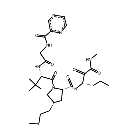 CCCC[C@H]1C[C@@H](C(=O)N[C@@H](CCC)C(=O)C(=O)NC)N(C(=O)[C@@H](NC(=O)CNC(=O)c2cnccn2)C(C)(C)C)C1